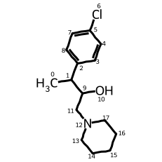 CC(c1ccc(Cl)cc1)C(O)CN1CCCCC1